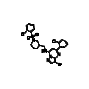 O=S(=O)(c1ccccc1Cl)N1CCCC(CNc2cc(-c3ccccc3Cl)nc3c(Br)cnn23)C1